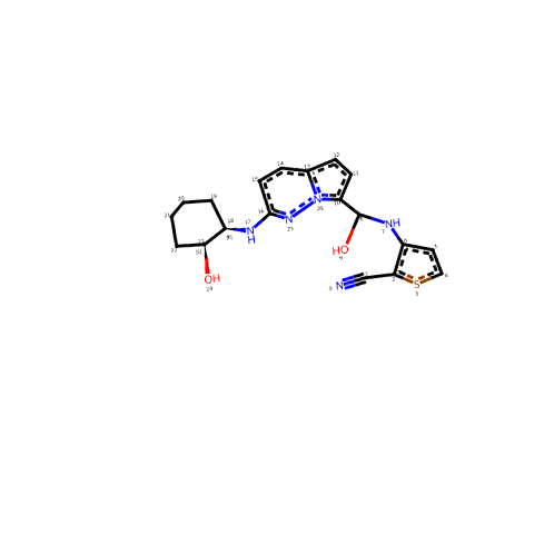 N#Cc1sccc1NC(O)c1ccc2ccc(N[C@@H]3CCCC[C@@H]3O)nn12